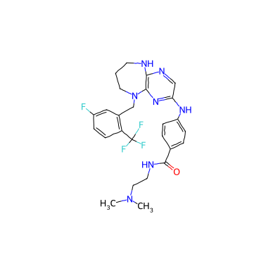 CN(C)CCNC(=O)c1ccc(Nc2cnc3c(n2)N(Cc2cc(F)ccc2C(F)(F)F)CCCN3)cc1